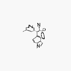 Cc1cncc(-c2c(C#N)c(=O)oc3c2ccc2c3ccn2C)c1